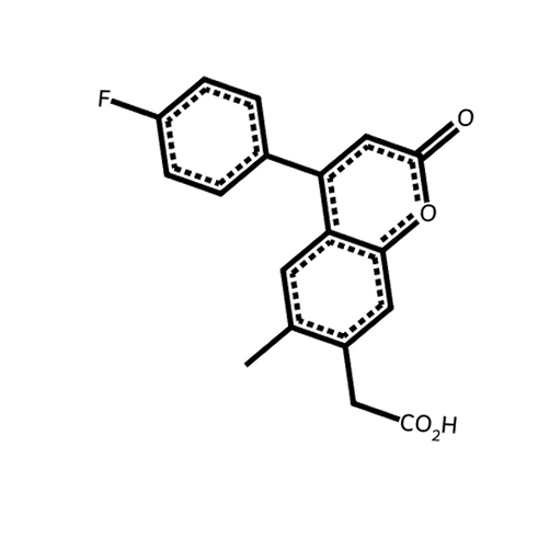 Cc1cc2c(-c3ccc(F)cc3)cc(=O)oc2cc1CC(=O)O